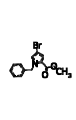 COC(=O)c1cc(Br)cn1Cc1ccccc1